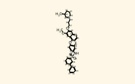 COc1cc2c(Oc3ccc(NS(=O)(=O)c4cccc(-c5ccccc5)c4)cc3F)ccnc2cc1OCCCN1CCCC(C)C1